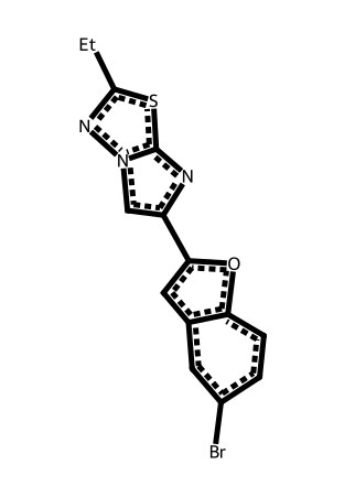 CCc1nn2cc(-c3cc4cc(Br)ccc4o3)nc2s1